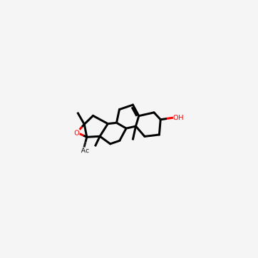 CC(=O)C12OC1(C)CC1C3CC=C4CC(O)CCC4(C)C3CCC12C